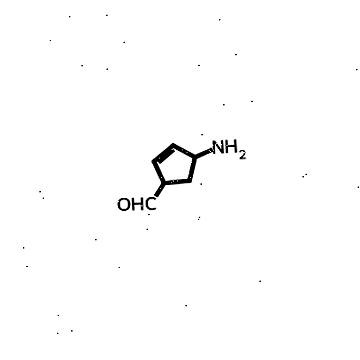 NC1C=CC(C=O)C1